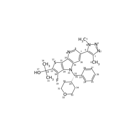 Cc1nnn(C)c1-c1cnc2c3sc(C(C)(C)O)c(F)c3n([C@H](c3ccccc3)C3CCOCC3)c2c1